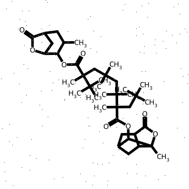 CC1CC2CC(OC2=O)C1OC(=O)C(C)(CC(C)(C)CC(C)(C)C(C)(CC(C)(C)C)C(=O)OC1C2CC3C(=O)OC1(C)C3C2)C(C)(C)C